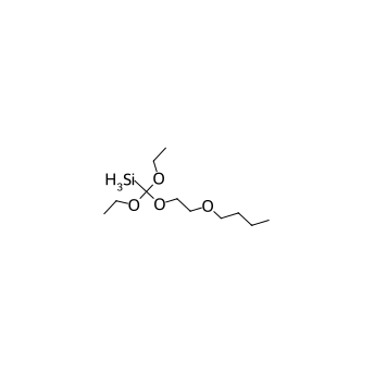 CCCCOCCOC([SiH3])(OCC)OCC